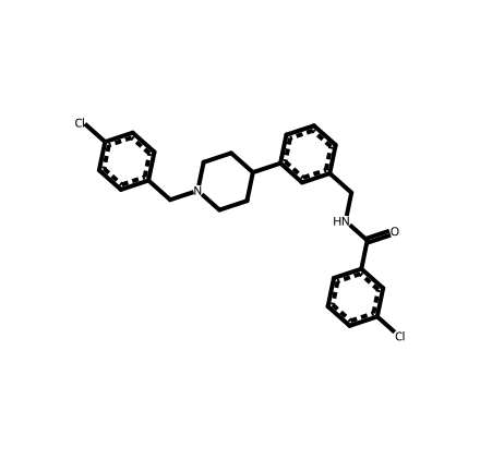 O=C(NCc1cccc(C2CCN(Cc3ccc(Cl)cc3)CC2)c1)c1cccc(Cl)c1